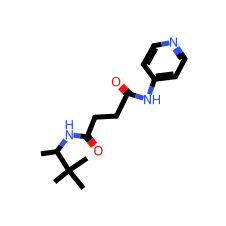 CC(NC(=O)CCC(=O)Nc1ccncc1)C(C)(C)C